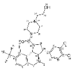 CN(Cc1ccc(C(F)(F)F)c(F)c1)[C@H]1CN(C(=O)N2CCN(CCO)CC2)C[C@@H]1c1ccc(Cl)c(Cl)c1